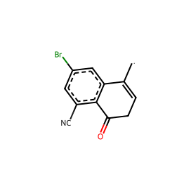 [CH2]C1=CCC(=O)c2c(C#N)cc(Br)cc21